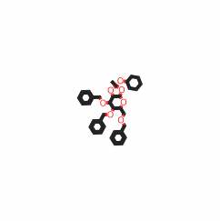 CC1(OC2CCCCC2)OC2OC(COCc3ccccc3)C(OCc3ccccc3)C(OCc3ccccc3)C2O1